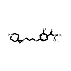 CN(C)C(=O)c1ccc(OCCC[C@H]2CC23CCNCC3)cc1Cl